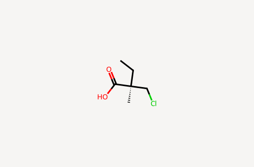 CC[C@@](C)(CCl)C(=O)O